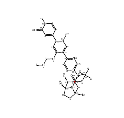 COCOc1cc(-c2ccn(C)c(=O)c2)c(F)cc1-c1ccc(N(C)[C@H]2C[C@@H]3CC[C@H]([C@H]2F)N3C(=O)OC(C)(C)C)nn1